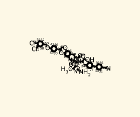 Cc1nc(N)sc1S(=O)(=O)N1Cc2cc3c(cc2C[C@H]1C(=O)N[C@@H](Cc1ccc(-c2ccc(C#N)cc2)cc1)C(=O)O)OC[C@@H](c1ccc(OCc2ccc(Cl)c(Cl)c2)cc1)O3